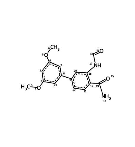 COc1cc(OC)cc(-c2ccc(C(N)=O)c(NC=O)c2)c1